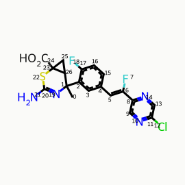 CC1(c2cc(/C=C(\F)c3cnc(Cl)cn3)ccc2F)N=C(N)SC2(C(=O)O)CC21